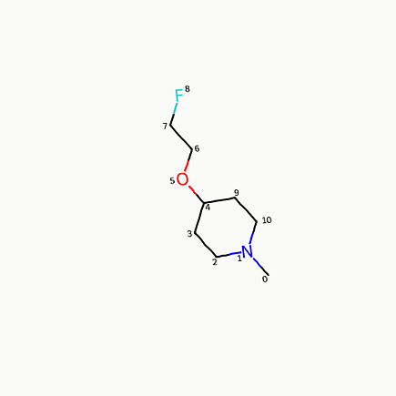 CN1CCC(OCCF)CC1